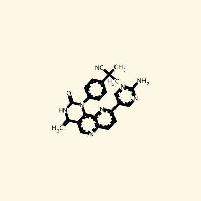 C=C1NC(=O)N(c2ccc(C(C)(C)C#N)cc2)c2c1cnc1ccc(-c3cnc(N)nc3)nc21